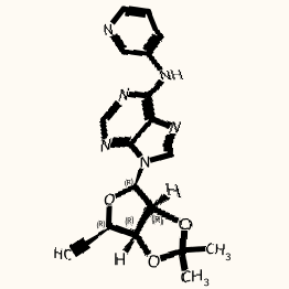 C#C[C@H]1O[C@@H](n2cnc3c(Nc4cccnc4)ncnc32)[C@@H]2OC(C)(C)O[C@@H]21